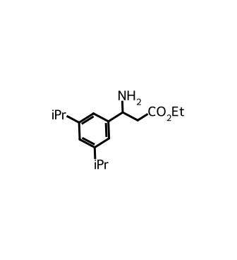 CCOC(=O)CC(N)c1cc(C(C)C)cc(C(C)C)c1